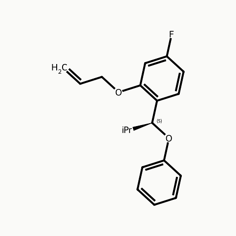 C=CCOc1cc(F)ccc1[C@@H](Oc1ccccc1)C(C)C